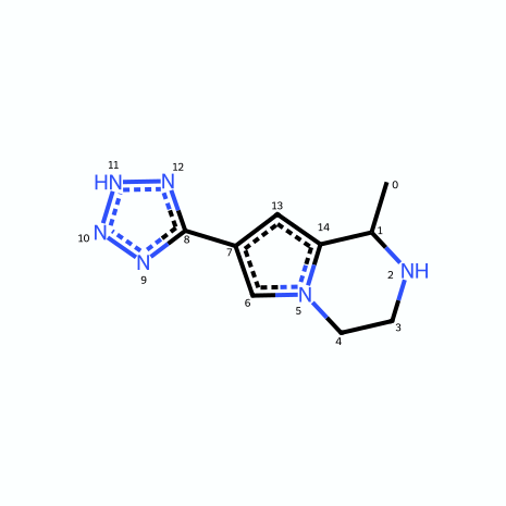 CC1NCCn2cc(-c3nn[nH]n3)cc21